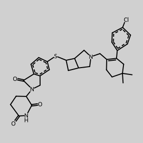 CC1(C)CCC(CN2CC3CC(Sc4ccc5c(c4)CN(C4CCC(=O)NC4=O)C5=O)C3C2)=C(c2ccc(Cl)cc2)C1